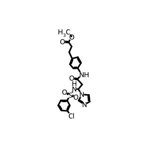 COC(=O)CCc1ccc(NC(=O)CC(NS(=O)(=O)c2cccc(Cl)c2)n2ccnc2)cc1